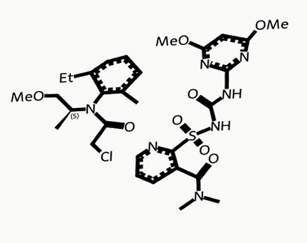 CCc1cccc(C)c1N(C(=O)CCl)[C@@H](C)COC.COc1cc(OC)nc(NC(=O)NS(=O)(=O)c2ncccc2C(=O)N(C)C)n1